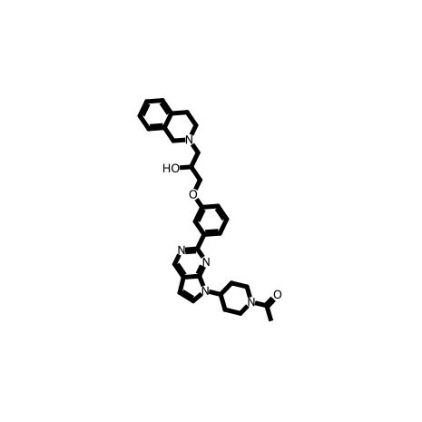 CC(=O)N1CCC(n2ccc3cnc(-c4cccc(OCC(O)CN5CCc6ccccc6C5)c4)nc32)CC1